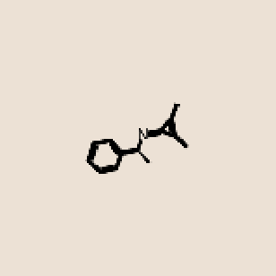 Cc1c(C)c1=N[C@@H](C)c1ccccc1